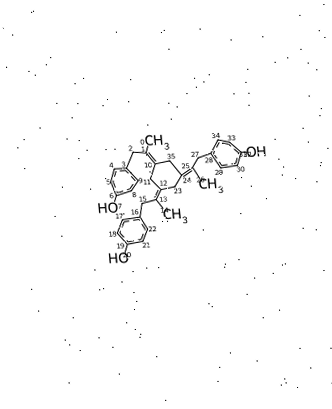 CC(Cc1ccc(O)cc1)=C1CC(=C(C)Cc2ccc(O)cc2)CC(=C(C)Cc2ccc(O)cc2)C1